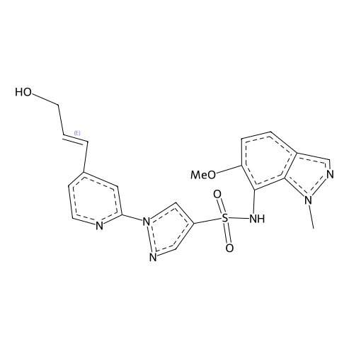 COc1ccc2cnn(C)c2c1NS(=O)(=O)c1cnn(-c2cc(/C=C/CO)ccn2)c1